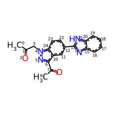 CC(=O)Cn1nc(C(C)=O)c2cc(-c3nc4ccccc4[nH]3)ccc21